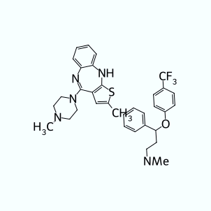 CNCCC(Oc1ccc(C(F)(F)F)cc1)c1ccccc1.Cc1cc2c(s1)Nc1ccccc1N=C2N1CCN(C)CC1